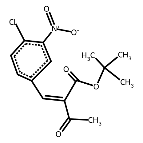 CC(=O)/C(=C/c1ccc(Cl)c([N+](=O)[O-])c1)C(=O)OC(C)(C)C